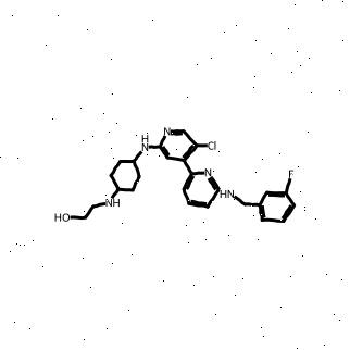 OCCNC1CCC(Nc2cc(-c3cccc(NCc4cccc(F)c4)n3)c(Cl)cn2)CC1